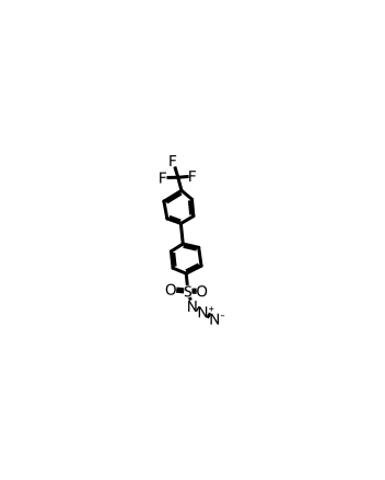 [N-]=[N+]=NS(=O)(=O)c1ccc(-c2ccc(C(F)(F)F)cc2)cc1